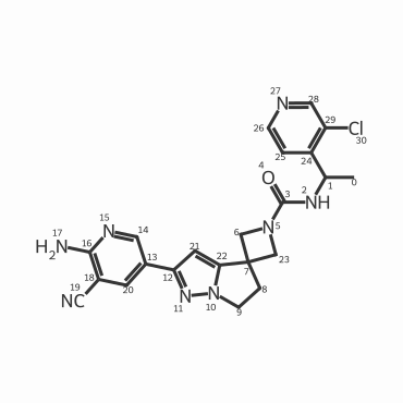 CC(NC(=O)N1CC2(CCn3nc(-c4cnc(N)c(C#N)c4)cc32)C1)c1ccncc1Cl